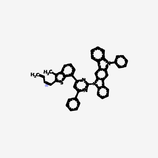 C=C/C=C\c1sc2c(-c3cc(-c4ccccc4)nc(-n4c5ccccc5c5cc6c(cc54)c4ccccc4n6-c4ccccc4)n3)cccc2c1C